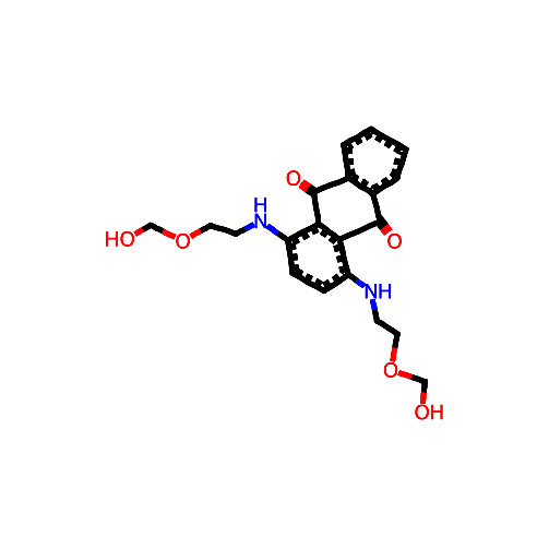 O=C1c2ccccc2C(=O)c2c(NCCOCO)ccc(NCCOCO)c21